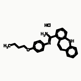 CCCCOc1ccc(N=C(N)c2cccc3c2C=Cc2ccccc2N3)cc1.Cl